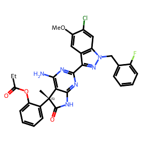 CCC(=O)Oc1ccccc1[C@@]1(C)C(=O)Nc2nc(-c3nn(Cc4ccccc4F)c4cc(Cl)c(OC)cc34)nc(N)c21